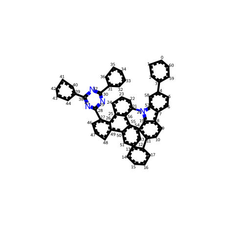 c1ccc(-c2ccc3c4ccc(-c5ccccc5)cc4n(-c4cccc5c6c(-c7nc(-c8ccccc8)nc(-c8ccccc8)n7)cccc6c6ccccc6c45)c3c2)cc1